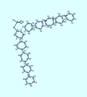 CC(=O)Cc1ccccc1.c1ccccc1.c1ccccc1.c1ccccc1.c1ccccc1.c1ccccc1.c1ccccc1.c1ccccc1.c1ccccc1.c1ccccc1